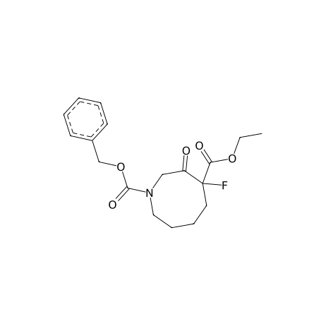 CCOC(=O)C1(F)CCCCN(C(=O)OCc2ccccc2)CC1=O